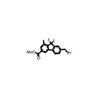 COC(=O)c1cc(C)c2c(c1)-c1ccc(CC(C)C)cc1C2(F)F